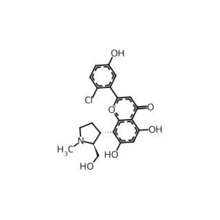 CN1CC[C@H](c2c(O)cc(O)c3c(=O)cc(-c4cc(O)ccc4Cl)oc23)[C@H]1CO